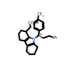 CC(C)CC[C@H](c1ccc(C(F)(F)F)cc1)n1c2c(c3c1C(CC(=O)O)CCC3)CCCC2